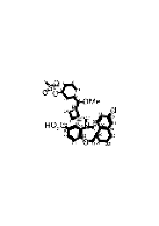 CO[C@H]([C@H]1CCC[C@H](OS(C)(=O)=O)C1)[C@@H]1CC[C@H]1CN1C[C@]2(CCCc3cc(Cl)ccc32)COc2ccc(C(=O)O)cc21